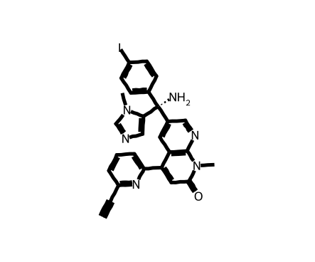 C#Cc1cccc(-c2cc(=O)n(C)c3ncc([C@](N)(c4ccc(I)cc4)c4cncn4C)cc23)n1